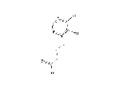 O=C(O)CCSc1ccnc(Cl)c1Cl